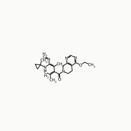 C=N/C(NC1(C)CC1)=C(\C)C(C(=O)N1CCc2c(ncnc2OCC)C1)=C(C)C